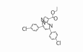 CCOC(=O)c1cnn2c(-c3ccc(Cl)cc3)cc(-c3ccc(Cl)cc3)nc12